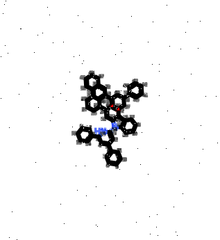 C1=CC(C2C=C(c3ccccc3)C=C(N3C4=C(CCC=C4)C4C=CC(C5CC=Cc6c7c(cc(C8=CCCC(c9ccccc9)C8)c65)CCC=C7)=CC43)N2)=CCC1